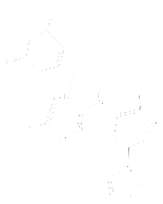 COc1cn(CC2=CC(F)=CC(F)C2)c(Nc2cc(-n3cccc3)ccc2C)nc1=O